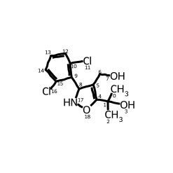 CC(C)(O)C1=C(CO)C(c2c(Cl)cccc2Cl)NO1